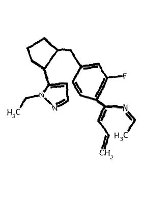 C=C/C=C(\N=C/C)c1ccc(CC2CCCC2c2ccnn2CC)cc1F